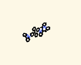 C=Cc1c(-c2c(C)c3ccccc3n2-c2ccccc2)n(-c2cccc([Si](c3ccccc3)(c3ccccc3)c3ccc(-n4c5ccccc5c5ccccc54)cc3)c2)c2ccccc12